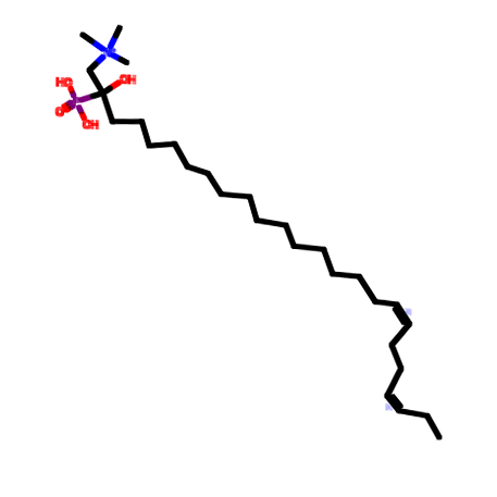 CC/C=C\CC/C=C\CCCCCCCCCCCCCCCC(O)(C[N+](C)(C)C)P(=O)(O)O